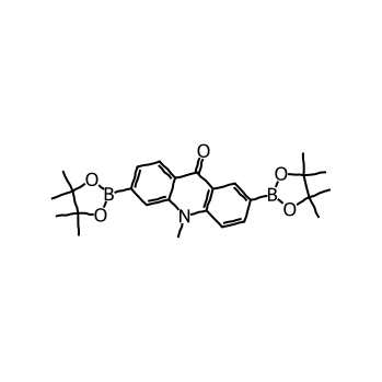 Cn1c2ccc(B3OC(C)(C)C(C)(C)O3)cc2c(=O)c2ccc(B3OC(C)(C)C(C)(C)O3)cc21